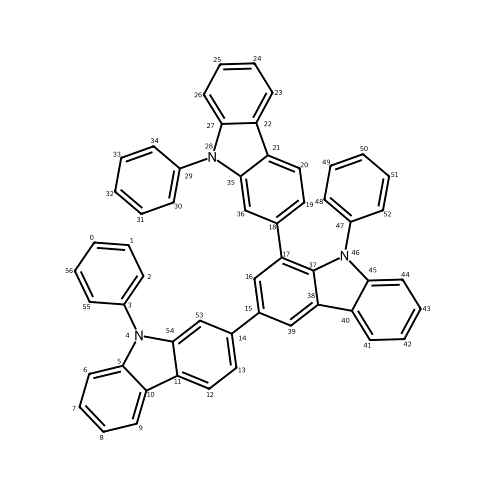 c1ccc(-n2c3ccccc3c3ccc(-c4cc(-c5ccc6c7ccccc7n(-c7ccccc7)c6c5)c5c(c4)c4ccccc4n5-c4ccccc4)cc32)cc1